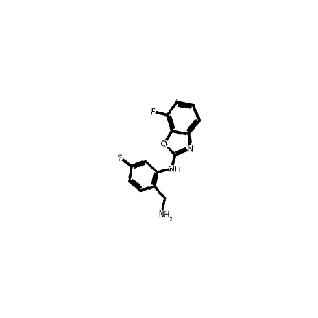 NCc1ccc(F)cc1Nc1nc2cc[c]c(F)c2o1